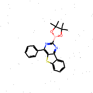 CC1(C)OB(c2nc(-c3ccccc3)c3sc4ccccc4c3n2)OC1(C)C